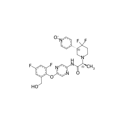 C[C@@H](C(=O)Nc1cnc(Oc2c(F)cc(F)cc2CO)cn1)N1CCC(F)(F)[C@@H](c2cc[n+]([O-])cc2)C1